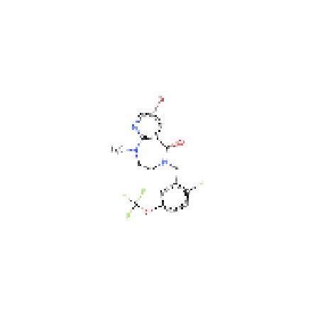 CN1CCN(Cc2cc(OC(F)(F)F)ccc2F)C(=O)c2cc(Br)cnc21